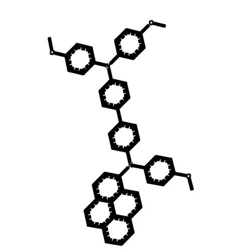 COc1ccc(N(c2ccc(OC)cc2)c2ccc(-c3ccc(N(c4ccc(OC)cc4)c4ccc5ccc6cccc7ccc4c5c67)cc3)cc2)cc1